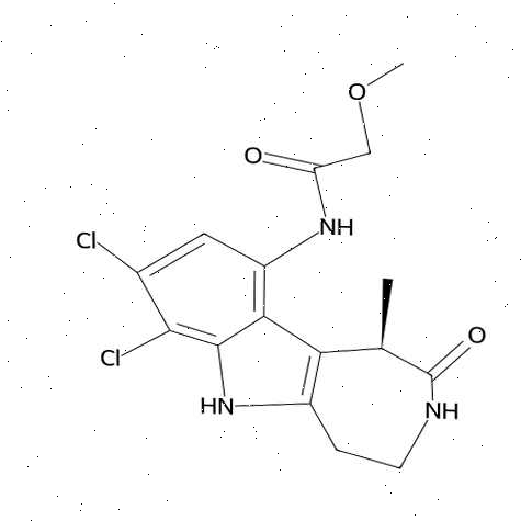 COCC(=O)Nc1cc(Cl)c(Cl)c2[nH]c3c(c12)[C@@H](C)C(=O)NCC3